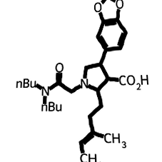 C/C=C(\C)CCC1C(C(=O)O)C(c2ccc3c(c2)OCO3)CN1CC(=O)N(CCCC)CCCC